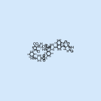 O=C(O)COc1c(C(=O)O)sc(-c2cccc(NC3CCN(S(=O)(=O)Cc4cccc(NC(=O)N5CCC(c6ccc7c8c(cccc68)C(=O)N7C6CCC(=O)NC6=O)CC5)c4)CC3)c2)c1Cl